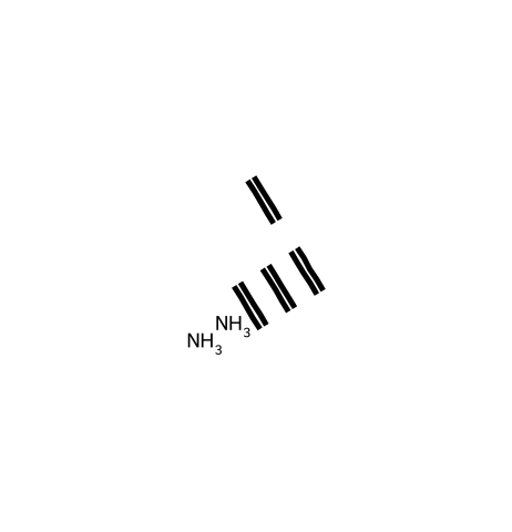 C=C.C=C.C=C.C=C.N.N